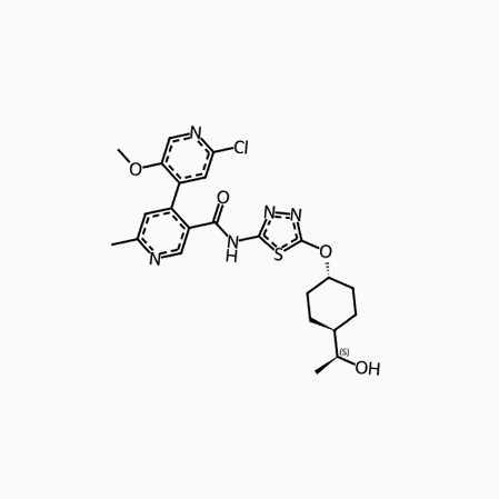 COc1cnc(Cl)cc1-c1cc(C)ncc1C(=O)Nc1nnc(O[C@H]2CC[C@H]([C@H](C)O)CC2)s1